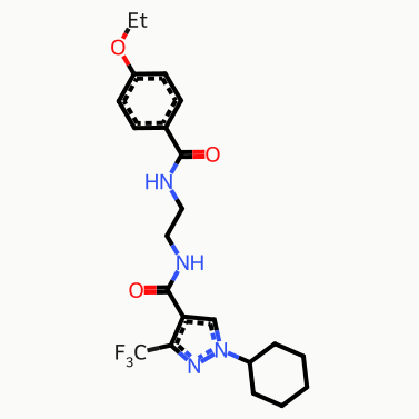 CCOc1ccc(C(=O)NCCNC(=O)c2cn(C3CCCCC3)nc2C(F)(F)F)cc1